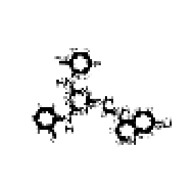 Cc1ccccc1Nc1nc(NCNc2ccnc3cc(Cl)ccc23)nc(Nc2ccccc2C)n1